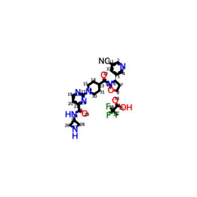 N#Cc1cncc([C@@H]2CCON2C(=O)C2CCN(c3nccc(C(=O)NC4CNC4)n3)CC2)c1.O=C(O)C(F)(F)F